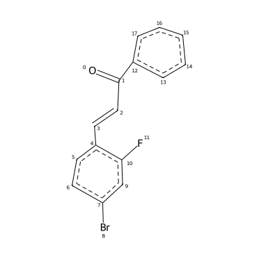 O=C(C=Cc1ccc(Br)cc1F)c1ccccc1